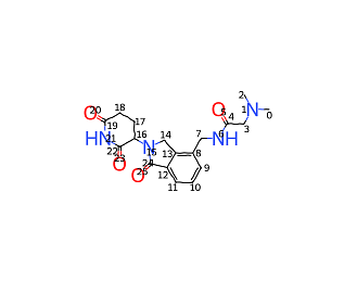 CN(C)CC(=O)NCc1cccc2c1CN(C1CCC(=O)NC1=O)C2=O